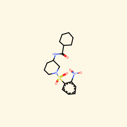 O=C(NC1CCCN(S(=O)(=O)c2ccccc2[N+](=O)[O-])C1)C1CCCCC1